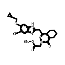 CC(C)(C)OC(=O)Cn1nc(Cc2nc3cc(Cl)c(OCC4CC4)cc3[nH]2)c2c(c1=O)CCCC2